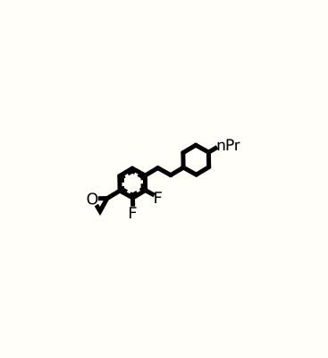 CCCC1CCC(CCc2ccc(C3CO3)c(F)c2F)CC1